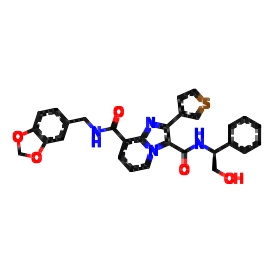 O=C(NCc1ccc2c(c1)OCO2)c1cccn2c(C(=O)N[C@H](CO)c3ccccc3)c(-c3ccsc3)nc12